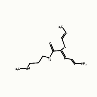 C/N=C/S/C(=N\C=C\N)C(=O)NCCCNC